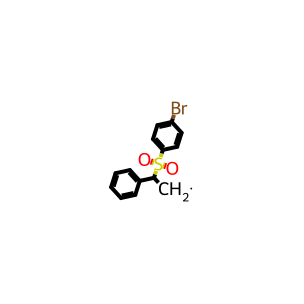 [CH2]C(c1ccccc1)S(=O)(=O)c1ccc(Br)cc1